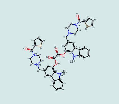 CCn1c2ccccc2c2cc(CN3CCN(C(=O)c4cccs4)CC3)cc(OC(=O)C(=O)Oc3cc(CN4CCN(C(=O)c5cccs5)CC4)cc4c5ccccc5n(CC)c34)c21